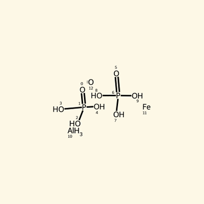 O=P(O)(O)O.O=P(O)(O)O.[AlH3].[Fe].[O]